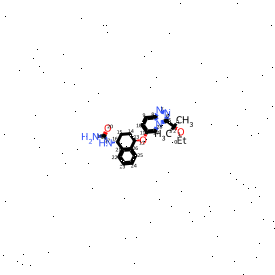 CCOC(C)(C)c1nnc2ccc(O[C@@H]3CC[C@H](NC(N)=O)c4ccccc43)cn12